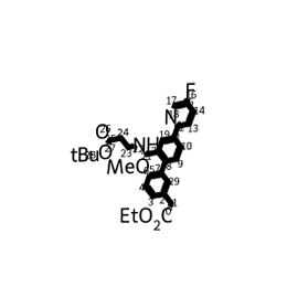 CCOC(=O)Cc1ccc(OC)c(-c2ccc(-c3ccc(F)cn3)cc2CNCCC(=O)OC(C)(C)C)c1